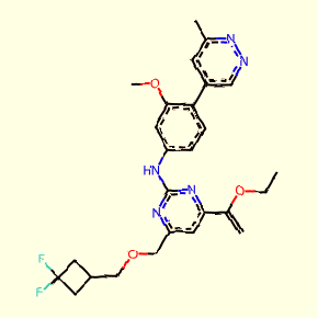 C=C(OCC)c1cc(COCC2CC(F)(F)C2)nc(Nc2ccc(-c3cnnc(C)c3)c(OC)c2)n1